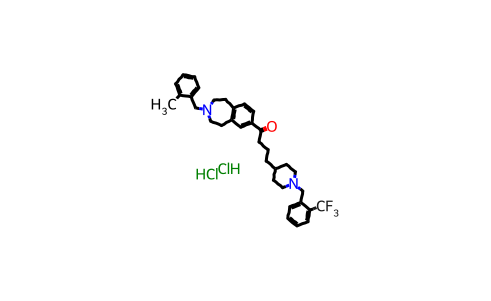 Cc1ccccc1CN1CCc2ccc(C(=O)CCCC3CCN(Cc4ccccc4C(F)(F)F)CC3)cc2CC1.Cl.Cl